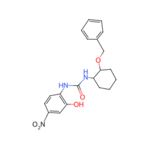 O=C(Nc1ccc([N+](=O)[O-])cc1O)NC1CCCCC1OCc1ccccc1